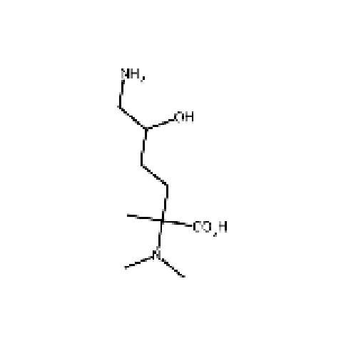 CN(C)C(C)(CCC(O)CN)C(=O)O